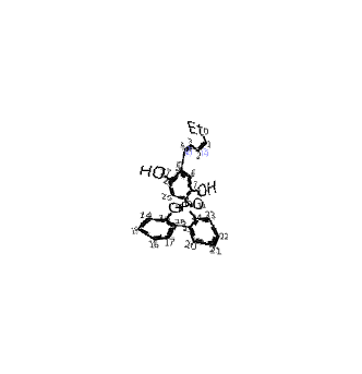 CC/C=C\C=C/c1cc(O)c(P2(=O)Oc3ccccc3-c3ccccc32)cc1O